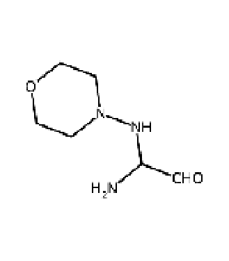 NC(C=O)NN1CCOCC1